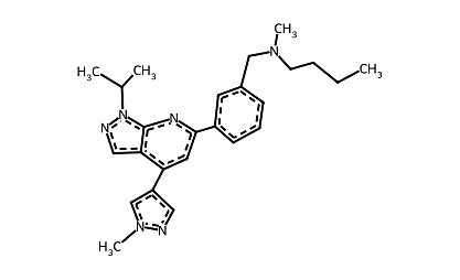 CCCCN(C)Cc1cccc(-c2cc(-c3cnn(C)c3)c3cnn(C(C)C)c3n2)c1